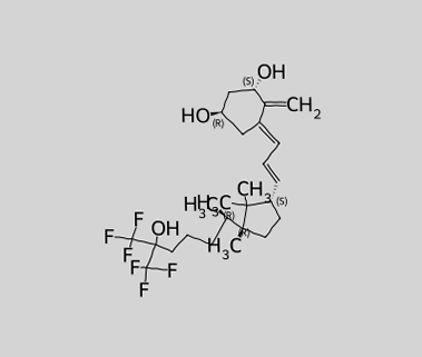 C=C1C(=CC=C[C@@H]2CC[C@](C)([C@H](C)CCCC(O)(C(F)(F)F)C(F)(F)F)C2(C)C)C[C@@H](O)C[C@@H]1O